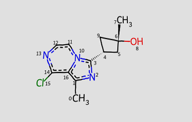 Cc1nc([C@H]2C[C@@](C)(O)C2)n2ccnc(Cl)c12